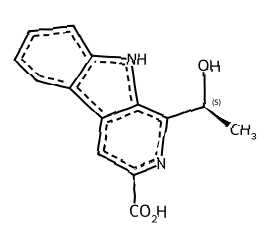 C[C@H](O)c1nc(C(=O)O)cc2c1[nH]c1ccccc12